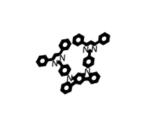 c1ccc(-c2cc(-c3ccccc3)nc(-c3ccc(-n4c5ccccc5c5cc6c7ccccc7n(-c7ccc(-c8nc(-c9ccccc9)cc(-c9ccccc9)n8)cc7)c6cc54)cc3)n2)cc1